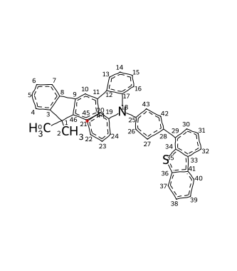 CC1(C)c2ccccc2-c2cc(-c3ccccc3N(c3ccccc3)c3ccc(-c4cccc5c4sc4ccccc45)cc3)ccc21